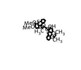 COc1ccc2c(c1OC)Sc1ccccc1C21OC(C)C(COc2c(O)ccc3c2Sc2ccccc2C32OC(C)CC(C)O2)O1